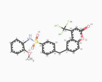 COc1ccccc1NS(=O)(=O)c1ccc(Cc2ccc3oc(=O)cc(C(F)(F)F)c3c2)cc1